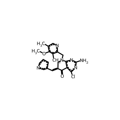 COc1c(C)cnc(CN2C/C(=C\c3cccnc3)C(=O)c3c(Cl)nc(N)nc32)c1C